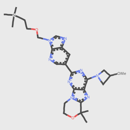 COC1CN(c2nc(-c3cnc4c(c3)ncn4COCC[Si](C)(C)C)nc3c2nc2n3CCOC2(C)C)C1